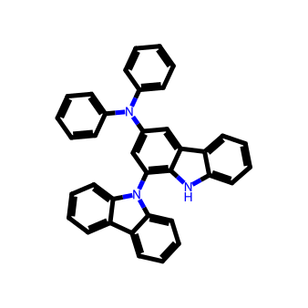 c1ccc(N(c2ccccc2)c2cc(-n3c4ccccc4c4ccccc43)c3[nH]c4ccccc4c3c2)cc1